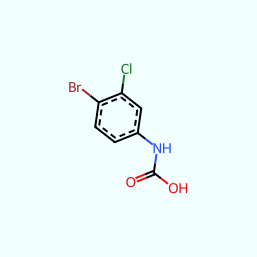 O=C(O)Nc1ccc(Br)c(Cl)c1